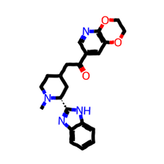 CN1CCC(CC(=O)c2cnc3c(c2)OCCO3)C[C@@H]1c1nc2ccccc2[nH]1